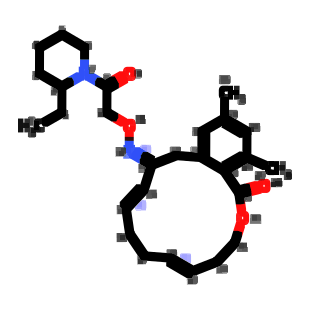 CCC1CCCCN1C(=O)CO/N=C1/C=C/CC/C=C/CCOC(=O)c2c(C)cc(C)cc2C1